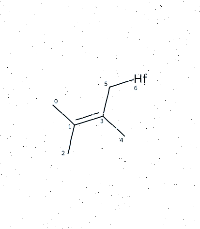 CC(C)=C(C)[CH2][Hf]